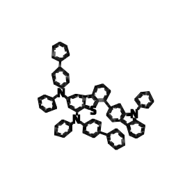 c1ccc(-c2ccc(N(c3ccccc3)c3cc(N(c4ccccc4)c4ccc(-c5ccccc5)cc4)c4sc5c(-c6ccc7c8ccccc8n(-c8ccccc8)c7c6)cccc5c4c3)cc2)cc1